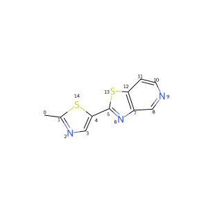 Cc1ncc(-c2nc3cnccc3s2)s1